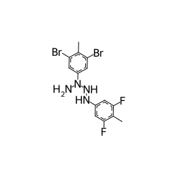 Cc1c(F)cc(NNN(N)c2cc(Br)c(C)c(Br)c2)cc1F